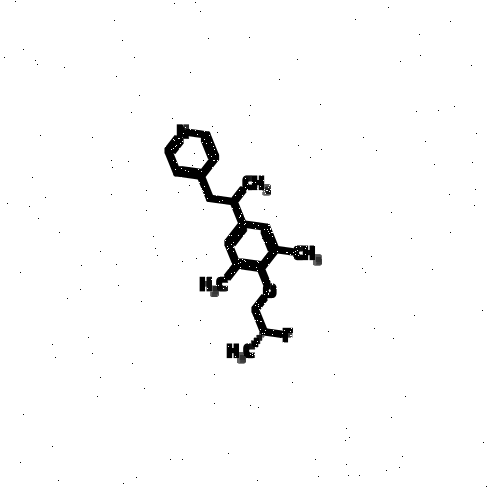 Cc1cc(C(C)Cc2ccncc2)cc(C)c1OC[C@@H](C)F